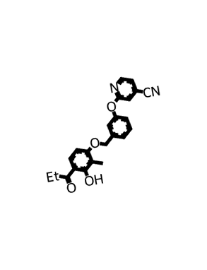 CCC(=O)c1ccc(OCc2cccc(Oc3cc(C#N)ccn3)c2)c(C)c1O